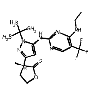 BC(B)(B)n1nc([C@@]2(C)CCOC2=O)cc1Nc1ncc(C(F)(F)F)c(NCC)n1